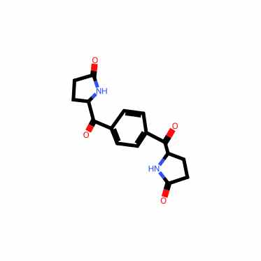 O=C1CCC(C(=O)c2ccc(C(=O)C3CCC(=O)N3)cc2)N1